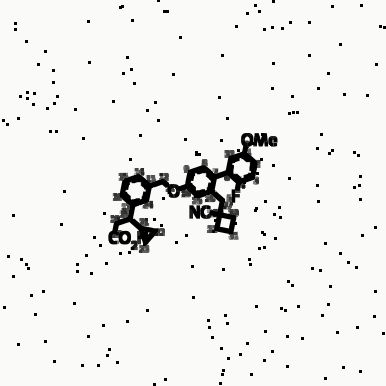 COc1ccc(F)c(-c2ccc(OCc3cccc(C(CC(=O)O)C4CC4)c3)cc2CC2(C#N)CCC2)c1